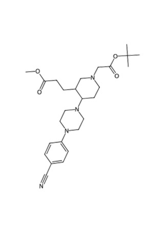 COC(=O)CCC1CN(CC(=O)OC(C)(C)C)CCC1N1CCN(c2ccc(C#N)cc2)CC1